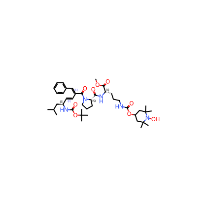 COC(=O)[C@H](CCCNC(=O)OC1CC(C)(C)N(O)C(C)(C)C1)NC(=O)[C@@H]1CCCN1C(=O)C(/C=C/[C@H](CC(C)C)NC(=O)OC(C)(C)C)=C/c1ccccc1